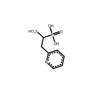 O=P(O)(O)C(Cc1ccccn1)S(=O)(=O)O